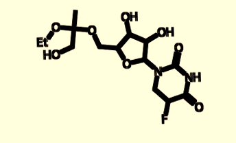 CCOC(C)(CO)OCC1OC(N2CC(F)C(=O)NC2=O)C(O)C1O